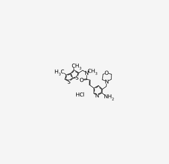 Cc1csc2sc(CN(C)C(=O)C=Cc3cnc(N)c(CN4CCOCC4)c3)c(C)c12.Cl